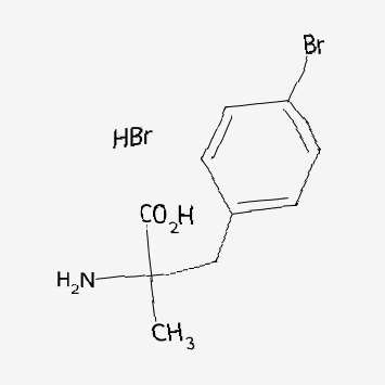 Br.CC(N)(Cc1ccc(Br)cc1)C(=O)O